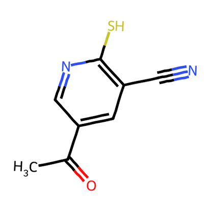 CC(=O)c1cnc(S)c(C#N)c1